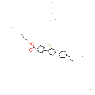 CCCCCOC(=O)c1ccc(-c2ccc([C@H]3CC[C@H](CCC)CC3)cc2F)cc1